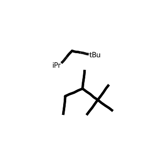 CC(C)CC(C)(C)C.CCC(C)C(C)(C)C